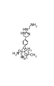 CC(C)(C)OC(=O)C(C)(COc1ccc(C2CN=C(NCCN)NC2)cc1)ON